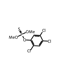 COP(=S)(OC)Oc1cc(Cl)c(Cl)cc1Cl